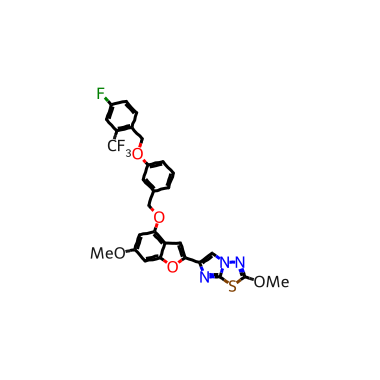 COc1cc(OCc2cccc(OCc3ccc(F)cc3C(F)(F)F)c2)c2cc(-c3cn4nc(OC)sc4n3)oc2c1